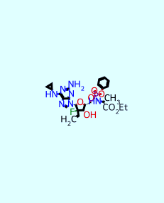 C=C[C@@]1(F)[C@H](O)[C@@H](CO[P@@](=O)(N[C@@H](C)C(=O)OCC)Oc2ccccc2)O[C@H]1n1cnc2c(NC3CC3)nc(N)nc21